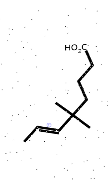 C/C=C/C(C)(C)CCCC(=O)O